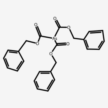 O=C(OCc1ccccc1)[As](C(=O)OCc1ccccc1)C(=O)OCc1ccccc1